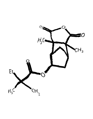 CCC(C)(C)C(=O)OC1CC2CC1C1(C)C(=O)OC(=O)C21C